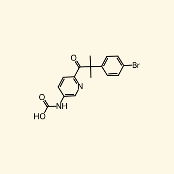 CC(C)(C(=O)c1ccc(NC(=O)O)cn1)c1ccc(Br)cc1